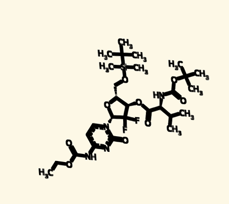 CCOC(=O)Nc1ccn([C@@H]2O[C@H](CO[Si](C)(C)C(C)(C)C)[C@@H](OC(=O)[C@@H](NC(=O)OC(C)(C)C)C(C)C)C2(F)F)c(=O)n1